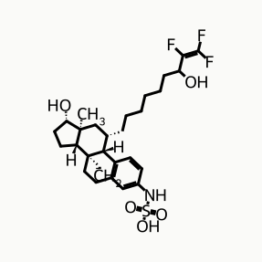 C=C[C@@]12CCc3cc(NS(=O)(=O)O)ccc3[C@H]1[C@@H](CCCCCCC(O)C(F)=C(F)F)C[C@@]1(C)[C@H]2CC[C@@H]1O